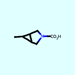 CC1C2CN(C(=O)O)CC12